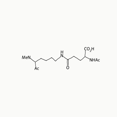 CNC(CCCCNC(=O)CCC(NC(C)=O)C(=O)O)C(C)=O